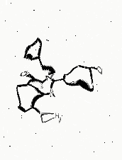 Cc1cccc2c(=O)n(Cc3ccccc3)c(-c3ccc(Cl)cc3)nc12